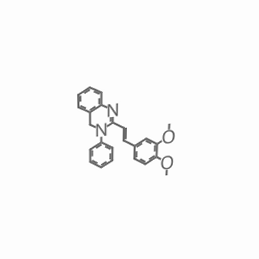 COc1ccc(C=CC2=Nc3ccccc3CN2c2ccccc2)cc1OC